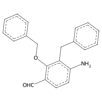 Nc1ccc(C=O)c(OCc2ccccc2)c1Cc1ccccc1